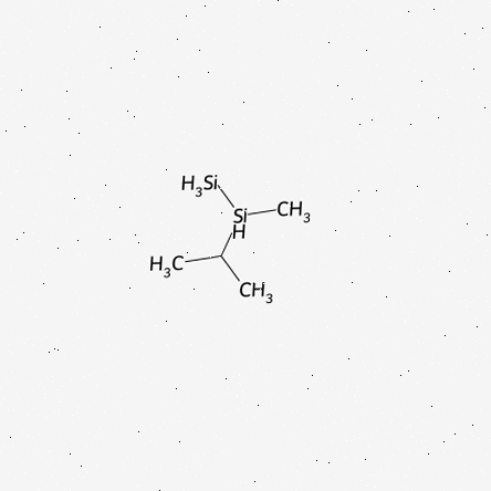 CC(C)[SiH](C)[SiH3]